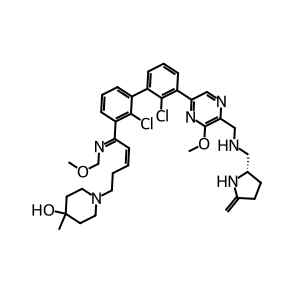 C=C1CC[C@@H](CNCc2ncc(-c3cccc(-c4cccc(C(/C=C\CCN5CCC(C)(O)CC5)=N/COC)c4Cl)c3Cl)nc2OC)N1